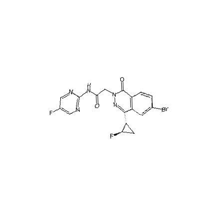 O=C(Cn1nc([C@@H]2C[C@H]2F)c2cc(Br)ccc2c1=O)Nc1ncc(F)cn1